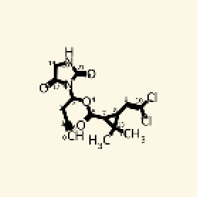 C#CCC(OC(=O)C1C(C=C(Cl)Cl)C1(C)C)N1C(=O)CNC1=O